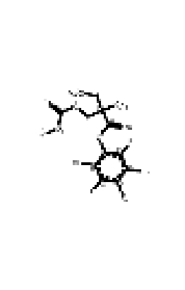 CCCOC(=O)OCC(C)(COC)C(=O)Oc1c(F)c(F)c(F)c(F)c1F